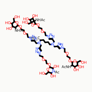 CC(=O)NC1C(OCCOCCn2cc(CN(CCCC[C@@H](C(=O)O)N(Cc3cn(CCOCCOC4OC(CO)C(O)C(O)C4NC(C)=O)nn3)Cc3cn(CCOCCOC4OC(CO)C(O)N(C(C)=O)C4O)nn3)Cc3cn(CCOCCOC4OC5(CO)C(O)C(O)C45NC(C)=O)nn3)nn2)OC(CO)C(O)C1O